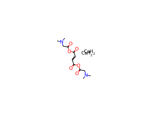 CN(C)CC(=O)OC(=O)/C=C/C(=O)OC(=O)CN(C)C.[CaH2].[CaH2]